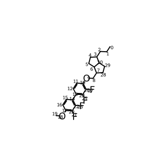 CCCC1CCC2C(COc3ccc(-c4ccc(OC)c(F)c4F)c(F)c3F)CCC12